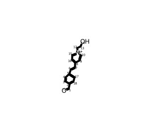 O=Cc1ccc(/C=C/c2cc[n+](CCO)cc2)cc1